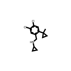 CC1(c2cc(Cl)c(Cl)cc2CNC2CC2)CC1